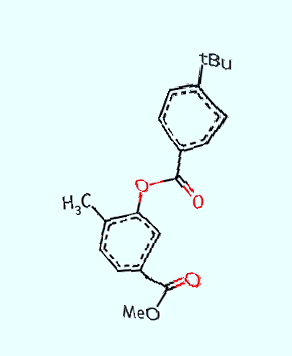 COC(=O)c1ccc(C)c(OC(=O)c2ccc(C(C)(C)C)cc2)c1